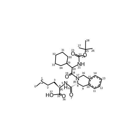 CSCC[C@@H](NC(=O)[C@H]1Cc2ccccc2CN1C(=O)C(NC(=O)OC(C)(C)C)C1CCCCC1)C(=O)O